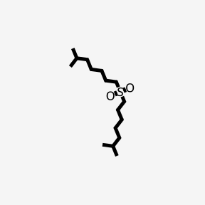 CC(C)CCCCCS(=O)(=O)CCCCCC(C)C